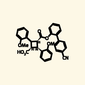 COc1ccccc1C1[C@@H](C(=O)O)[C@@H](c2ccccc2OC)[C@H]1C(=O)Oc1ccccc1-c1ccc(C#N)cc1